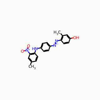 Cc1ccc(Nc2ccc(/N=N/c3ccc(O)cc3C)cc2)c([N+](=O)[O-])c1